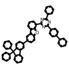 c1ccc(-c2ccc(-c3nc(-c4ccccc4)nc(-c4cccc5c4oc4ccc(-c6ccc7c(c6)-c6ccccc6C7(c6ccccc6)c6ccccc6)cc45)n3)cc2)cc1